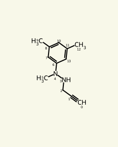 C#CCNN(C)c1cc(C)cc(C)c1